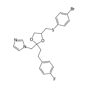 Fc1ccc(CCC2(Cn3ccnc3)OCC(CSc3ccc(Br)cc3)O2)cc1